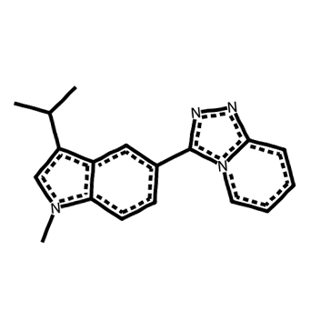 CC(C)c1cn(C)c2ccc(-c3nnc4ccccn34)cc12